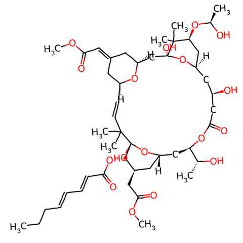 CCC/C=C/C=C/C(=O)O[C@H]1[C@H](CC(=O)OC)C[C@H]2C[C@H]([C@@H](C)O)OC(=O)C[C@H](O)C[C@@H]3C[C@H](O[C@@H](C)O)C(C)(C)[C@](O)(C[C@@H]4C/C(=C/C(=O)OC)C[C@H](/C=C/C(C)(C)[C@]1(O)O2)O4)O3